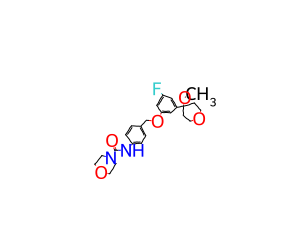 COC1(c2cc(F)cc(OCc3ccc(NC(=O)N4CCOCC4)cc3)c2)CCOCC1